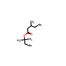 CC(CC(=O)OC(C)(C)CC(C)(C)C)CC(C)(C)C